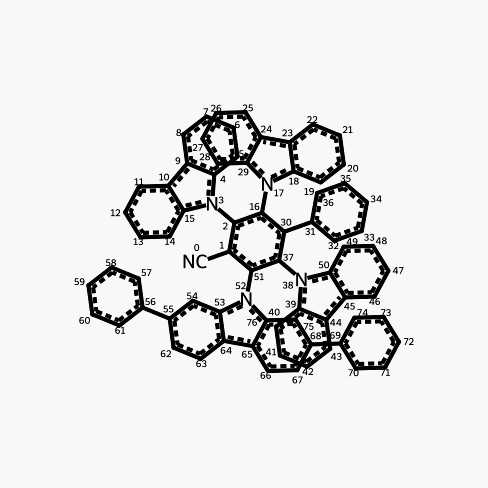 N#Cc1c(-n2c3ccccc3c3ccccc32)c(-n2c3ccccc3c3ccccc32)c(-c2ccccc2)c(-n2c3ccccc3c3ccccc32)c1-n1c2cc(-c3ccccc3)ccc2c2ccc(-c3ccccc3)cc21